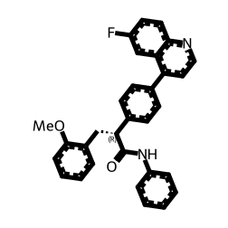 COc1ccccc1C[C@@H](C(=O)Nc1ccccc1)c1ccc(-c2ccnc3ccc(F)cc23)cc1